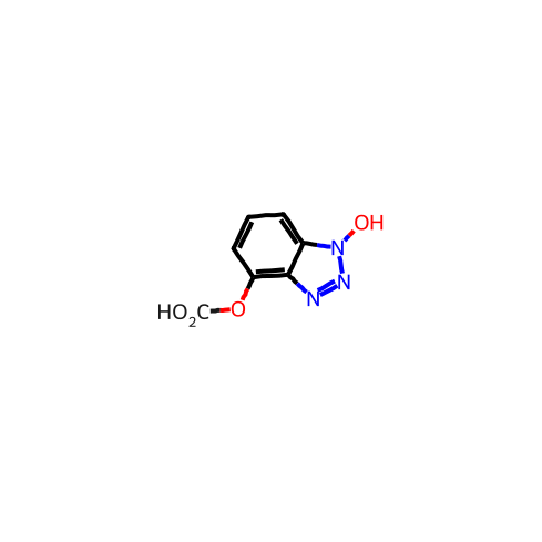 O=C(O)Oc1cccc2c1nnn2O